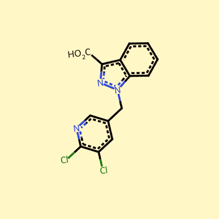 O=C(O)c1nn(Cc2cnc(Cl)c(Cl)c2)c2ccccc12